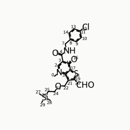 Cn1cc(C(=O)NCc2ccc(Cl)cc2)c(=O)c2sc(C=O)c(COCC[Si](C)(C)C)c21